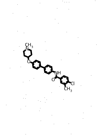 Cc1cc(C(=O)Nc2ccc(-c3ccc(OC4CCN(C)CC4)cc3)cc2)ccc1Cl